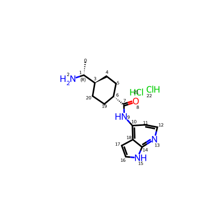 C[C@@H](N)[C@H]1CC[C@H](C(=O)Nc2ccnc3[nH]ccc23)CC1.Cl.Cl